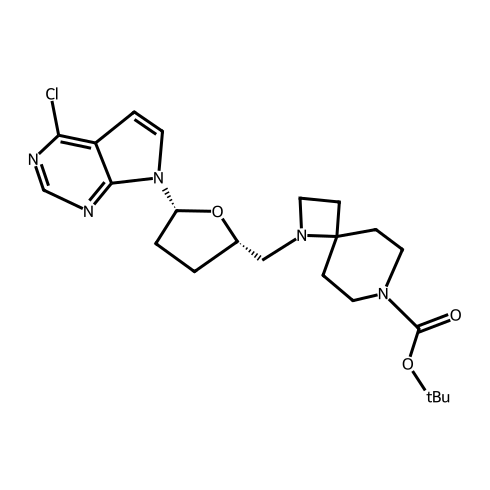 CC(C)(C)OC(=O)N1CCC2(CC1)CCN2C[C@@H]1CC[C@H](n2ccc3c(Cl)ncnc32)O1